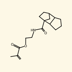 C=C(C)C(=O)OCCNC(=O)C12CCC(C1)C1CCCC12